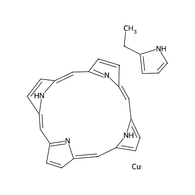 C1=Cc2cc3ccc(cc4nc(cc5ccc(cc1n2)[nH]5)C=C4)[nH]3.CCc1ccc[nH]1.[Cu]